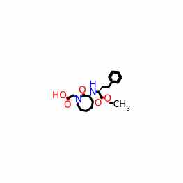 CCOC(=O)[C@H](CCc1ccccc1)N[C@H]1CCCCCN(CC(=O)O)C1=O